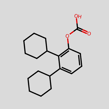 O=C(O)Oc1cccc(C2CCCCC2)c1C1CCCCC1